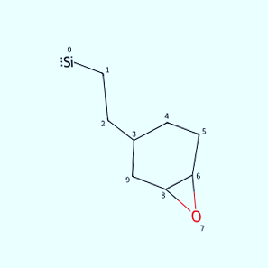 [Si]CCC1CCC2OC2C1